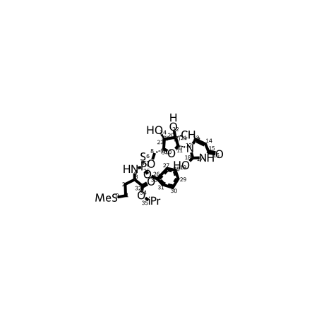 CSCCC(NP(=S)(OC[C@H]1O[C@@H](N2C=CC(=O)NC2O)[C@](C)(O)[C@@H]1O)Oc1ccccc1)C(=O)OC(C)C